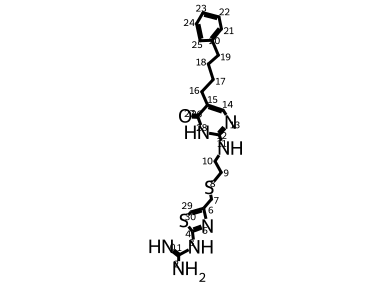 N=C(N)Nc1nc(CSCCNc2ncc(CCCCc3ccccc3)c(=O)[nH]2)cs1